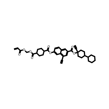 C#Cc1cc(C(=O)OC2(C#C)CCC(C3CCCCC3)CC2)cc2ccc(OC(=O)C3CCC(C(=O)OCOC(=O)C=C)CC3)cc12